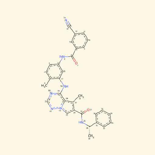 Cc1ccc(NC(=O)c2cccc(C#N)c2)cc1Nc1ncnn2cc(C(=O)N[C@@H](C)c3ccccc3)c(C)c12